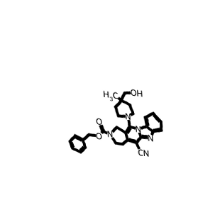 CC1(CO)CCN(c2c3c(c(C#N)c4nc5ccccc5n24)CCN(C(=O)OCc2ccccc2)C3)CC1